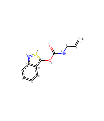 C=CCNC(=O)Oc1snc2ccccc12